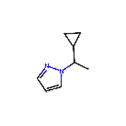 CC(C1CC1)n1c[c]cn1